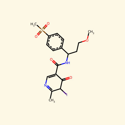 COCCC(NC(=O)C1=CN=C(C)C(I)C1=O)c1ccc(S(C)(=O)=O)cc1